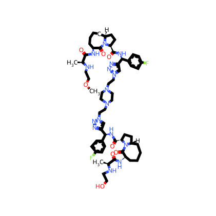 COCCN[C@@H](C)C(=O)N[C@H]1CCCC[C@H]2CC[C@@H](C(=O)N[C@@H](c3ccc(F)cc3)c3cn(CCN4CCN(CCn5cc([C@@H](NC(=O)[C@@H]6CC[C@@H]7CCCC[C@H](NC(=O)[C@H](C)NCCO)C(=O)N76)c6ccc(F)cc6)nn5)CC4)nn3)N2C1=O